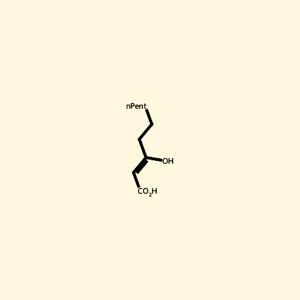 CCCCCCCC(O)=CC(=O)O